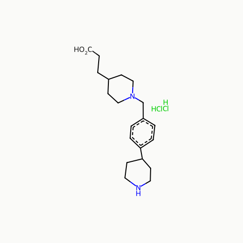 Cl.Cl.O=C(O)CCC1CCN(Cc2ccc(C3CCNCC3)cc2)CC1